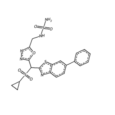 NS(=O)(=O)NCc1nnc(C(c2nc3ccc(-c4ccccc4)cc3s2)S(=O)(=O)C2CC2)o1